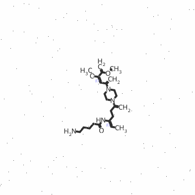 C=C(OC)/C(=C\C(=C)N1CCN(C(=C)CC/C(=C\C)NC(=O)CCCCN)CC1)OC